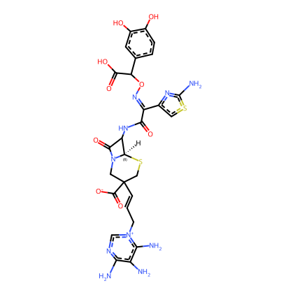 Nc1nc(C(=NOC(C(=O)O)c2ccc(O)c(O)c2)C(=O)NC2C(=O)N3CC(C=CC[n+]4cnc(N)c(N)c4N)(C(=O)[O-])CS[C@H]23)cs1